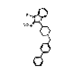 CCn1c(=NC#N)n(C2CCN(Cc3ccc(-c4ccccc4)cc3)CC2)c2ccccc21